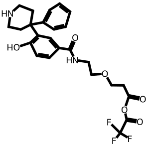 O=C(CCOCCNC(=O)c1ccc(O)c(C2(c3ccccc3)CCNCC2)c1)OC(=O)C(F)(F)F